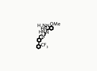 COc1cccc2/c(=N/C(=N)CN3CCc4ccc(-c5ccccc5C(F)(F)F)cc4C3)[nH]c(N)nc12